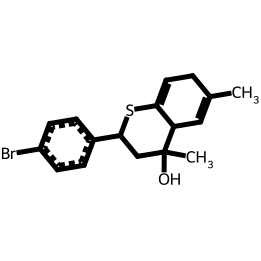 CC1=CC2C(=CC1)SC(c1ccc(Br)cc1)CC2(C)O